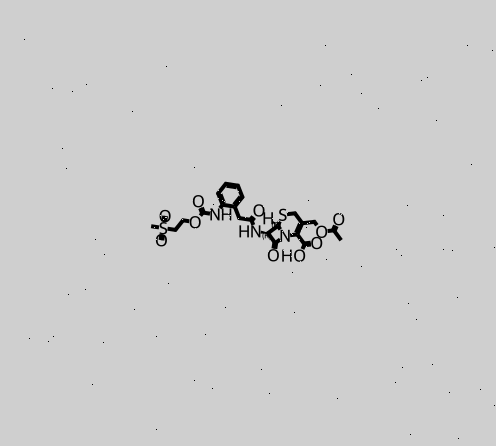 CC(=O)OCC1=C(C(=O)O)N2C(=O)[C@@H](NC(=O)Cc3ccccc3NC(=O)OCCS(C)(=O)=O)[C@H]2SC1